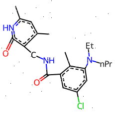 CCCN(CC)c1cc(Cl)cc(C(=O)NCc2c(C)cc(C)[nH]c2=O)c1C